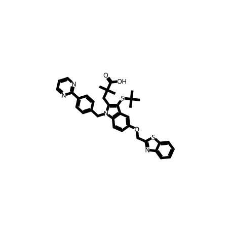 CC(C)(C)Sc1c(CC(C)(C)C(=O)O)n(Cc2ccc(-c3ncccn3)cc2)c2ccc(OCc3nc4ccccc4s3)cc12